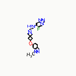 Cn1ncc2ccc(OC3CC4(C3)CN(CCNc3cc5nncn5cc3F)C4)cc21